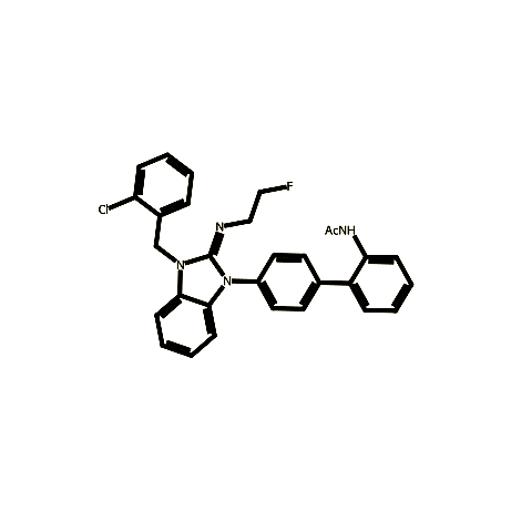 CC(=O)Nc1ccccc1-c1ccc(-n2/c(=N\CCF)n(Cc3ccccc3Cl)c3ccccc32)cc1